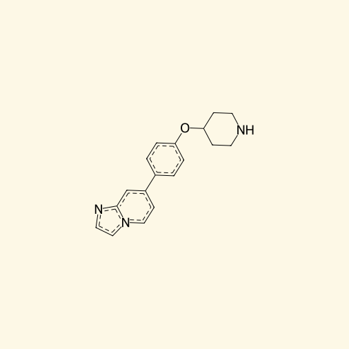 c1cn2ccc(-c3ccc(OC4CCNCC4)cc3)cc2n1